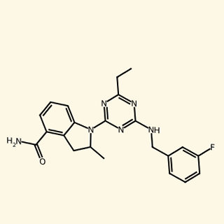 CCc1nc(NCc2cccc(F)c2)nc(N2c3cccc(C(N)=O)c3CC2C)n1